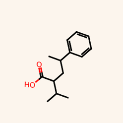 CC(CC(C(=O)O)C(C)C)c1ccccc1